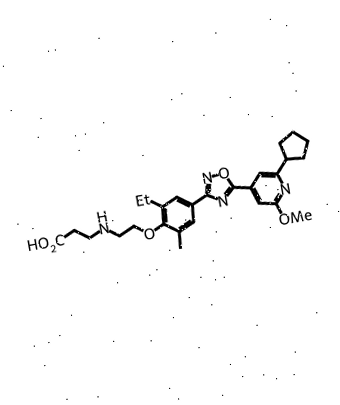 CCc1cc(-c2noc(-c3cc(OC)nc(C4CCCC4)c3)n2)cc(C)c1OCCNCCC(=O)O